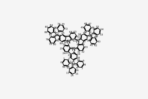 c1ccc([Si](c2ccccc2)(c2ccccc2)c2ccc3c(c2)c2cccc4c2n3c2cccc3c5cc([Si](c6ccccc6)(c6ccccc6)c6ccccc6)ccc5n(c5cccc6c7cc([Si](c8ccccc8)(c8ccccc8)c8ccccc8)ccc7n4c65)c32)cc1